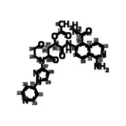 CC(=O)O[C@@H](C(=O)Nc1ccc2c(N)nccc2c1C(N)=O)[C@H]1OCCN(c2ccn(-c3ccncc3)n2)C1=O